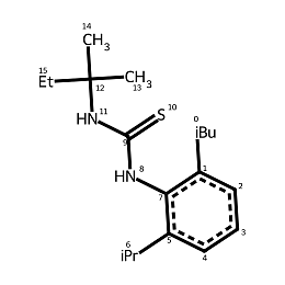 CCC(C)c1cccc(C(C)C)c1NC(=S)NC(C)(C)CC